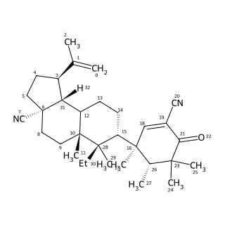 C=C(C)[C@@H]1CC[C@]2(C#N)CC[C@]3(C)C(CC[C@H]([C@@]4(C)C=C(C#N)C(=O)C(C)(C)[C@@H]4C)[C@@]3(C)CC)[C@@H]12